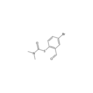 CN(C)C(=O)Sc1ccc(Br)cc1C=O